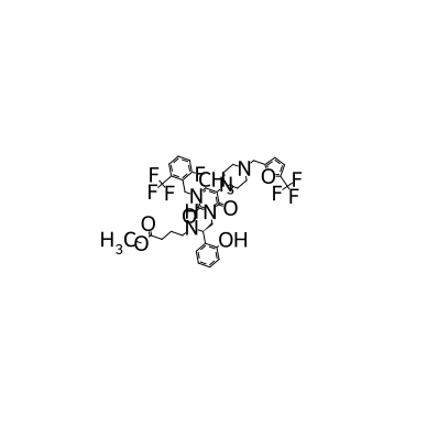 COC(=O)CCCN[C@@H](Cn1c(=O)c(N2CCN(Cc3ccc(C(F)(F)F)o3)CC2)c(C)n(Cc2c(F)cccc2C(F)(F)F)c1=O)c1ccccc1O